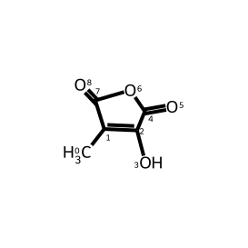 CC1=C(O)C(=O)OC1=O